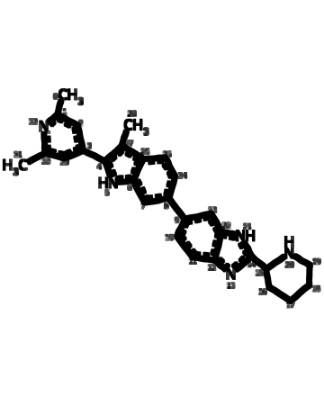 Cc1cc(-c2[nH]c3cc(-c4ccc5nc(C6CCCCN6)[nH]c5c4)ccc3c2C)cc(C)n1